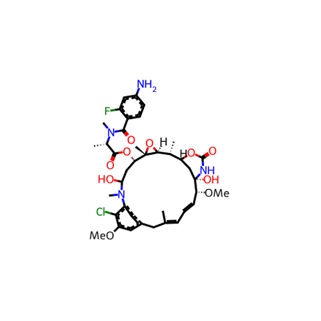 COc1cc2cc(c1Cl)N(C)C(O)C[C@H](OC(=O)[C@H](C)N(C)C(=O)c1ccc(N)cc1F)[C@]1(C)O[C@H]1[C@H](C)[C@@H]1C[C@@](O)(NC(=O)O1)[C@H](OC)/C=C/C=C(\C)C2